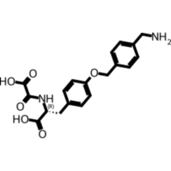 NCc1ccc(COc2ccc(C[C@@H](NC(=O)C(=O)O)C(=O)O)cc2)cc1